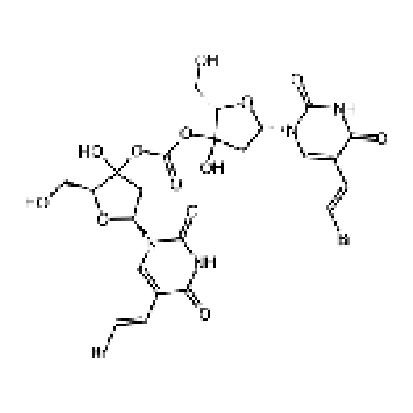 O=C(OC1(O)C[C@@H](n2cc(C=CBr)c(=O)[nH]c2=O)O[C@H]1CO)OC1(O)C[C@@H](n2cc(C=CBr)c(=O)[nH]c2=O)O[C@H]1CO